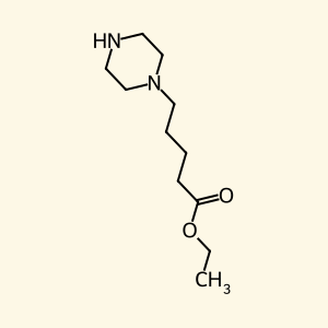 CCOC(=O)CCCCN1CCNCC1